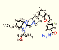 NC(=O)c1ccc([C@@H]2C=Cc3cccc(C4CCN(Cc5nc6ccc(C(=O)O)cc6n5C5[SiH2]C5C5CCO5)CC4)c3O2)c(F)c1